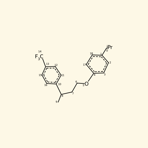 CC(C)c1ccc(OCCC(C)c2ccc(C(F)(F)F)cc2)cc1